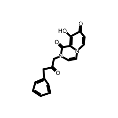 O=C(Cc1ccccc1)Cn1ccn2ccc(=O)c(O)c2c1=O